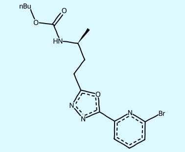 CCCCOC(=O)N[C@@H](C)CCc1nnc(-c2cccc(Br)n2)o1